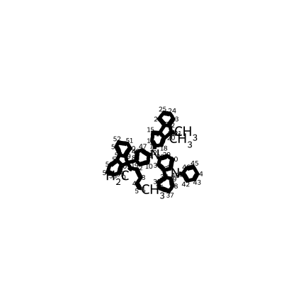 C=C(/C=C\C=C/C)C1(c2ccc(N(c3ccc4c(c3)C(C)(C)c3ccccc3-4)c3ccc4c(c3)c3ccccc3n4-c3ccccc3)cc2)c2ccccc2-c2ccccc21